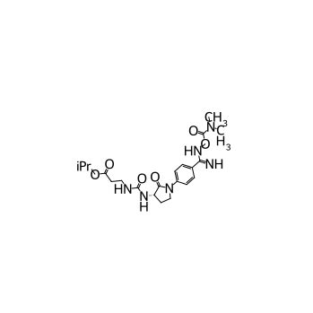 CC(C)OC(=O)CCNC(=O)N[C@H]1CCN(c2ccc(C(=N)NOC(=O)N(C)C)cc2)C1=O